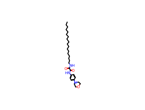 CCCCCCCCCCCCCCCCCCNC(=O)C(=O)Nc1ccc(N2CCOCC2)cc1